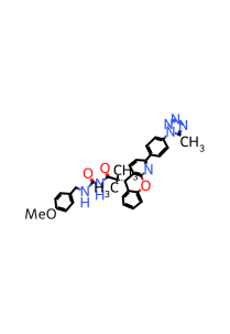 COc1ccc(CNC(=O)NC(=O)C(C)(C)[C@H]2c3ccccc3Oc3nc(-c4ccc(-n5nnnc5C)cc4)ccc32)cc1